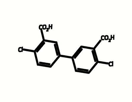 O=C(O)c1cc(-c2ccc(Cl)c(C(=O)O)c2)ccc1Cl